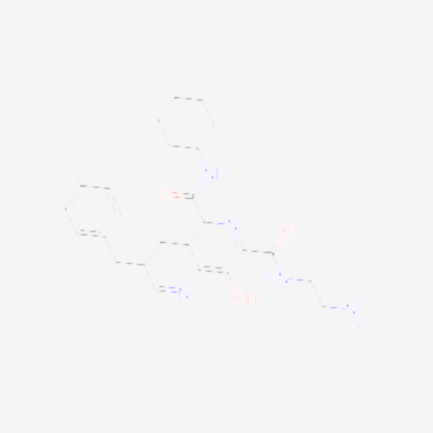 CN(C)CCNC(=O)c1nc(C(=O)NC2CCCCC2)c2cc(Cc3ccc(F)cc3)cnc2c1O